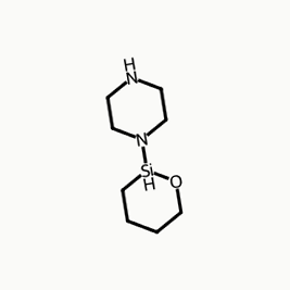 C1CC[SiH](N2CCNCC2)OC1